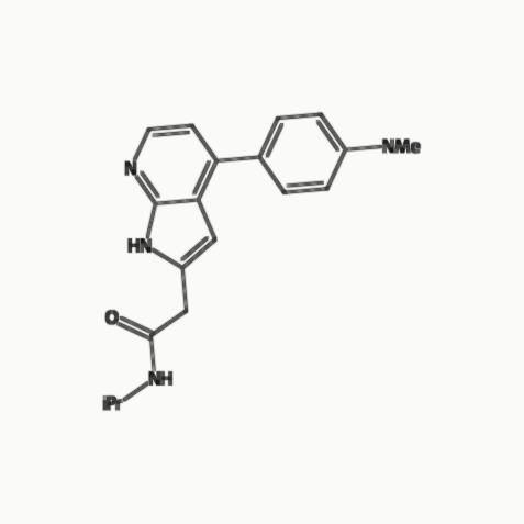 CNc1ccc(-c2ccnc3[nH]c(CC(=O)NC(C)C)cc23)cc1